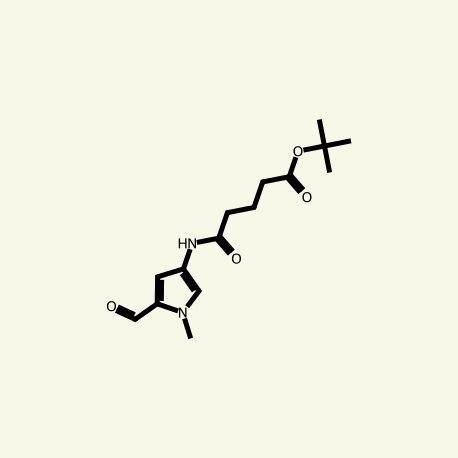 Cn1cc(NC(=O)CCCC(=O)OC(C)(C)C)cc1C=O